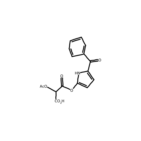 CC(=O)OC(C(=O)O)C(=O)Oc1ccc(C(=O)c2ccccc2)[nH]1